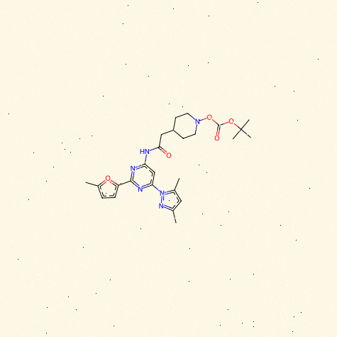 Cc1cc(C)n(-c2cc(NC(=O)CC3CCN(OC(=O)OC(C)(C)C)CC3)nc(-c3ccc(C)o3)n2)n1